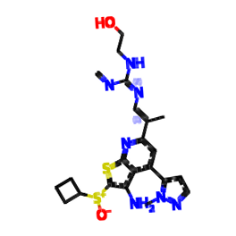 C=N/C(=N\C=C(/C)c1cc(-c2ccnn2C)c2c(N)c([S+]([O-])C3CCC3)sc2n1)NCCO